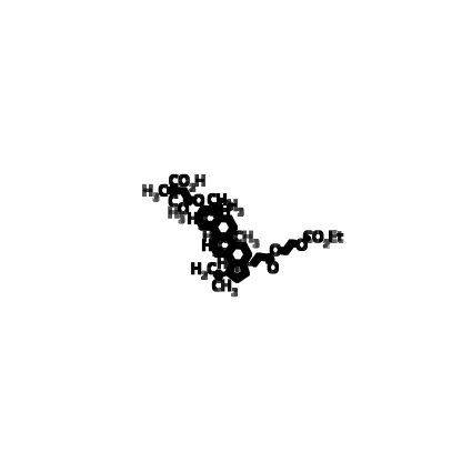 C=C(C)[C@@H]1CC[C@]2(CCC(=O)OCCOC(=O)OCC)CC[C@]3(C)[C@H](CC[C@@H]4[C@@]5(C)CC[C@H](OC(=O)CC(C)(C)C(=O)O)C(C)(C)[C@@H]5CC[C@]43C)[C@@H]12